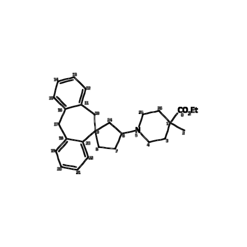 CCOC(=O)C1(C)CCN(C2CCC3(Cc4ccccc4Cc4ccccc43)C2)CC1